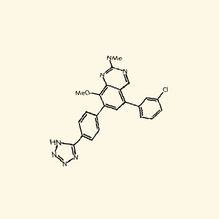 CNc1ncc2c(-c3cccc(Cl)c3)cc(-c3ccc(-c4nnn[nH]4)cc3)c(OC)c2n1